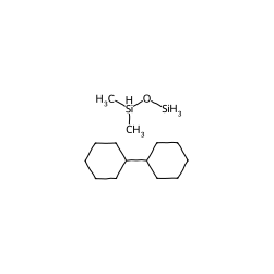 C1CCC(C2CCCCC2)CC1.C[SiH](C)O[SiH3]